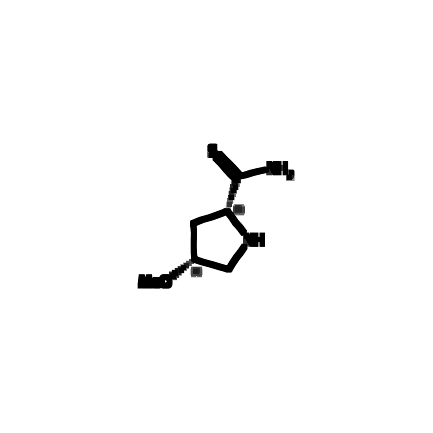 CO[C@H]1CN[C@@H](C(N)=S)C1